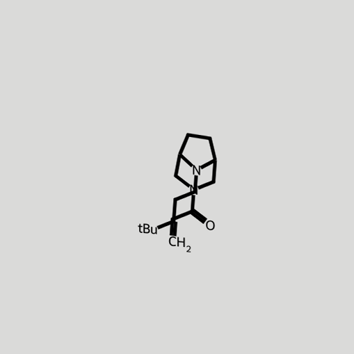 C=CC(=O)N1CC2CCC(C1)N2CCCC(C)(C)C